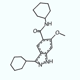 COc1cc2[nH]nc(C3CCCCC3)c2cc1C(=O)NC1CCCCC1